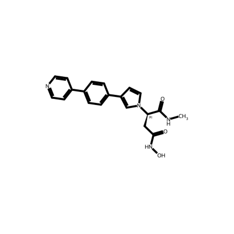 CNC(=O)[C@@H](CC(=O)NO)n1ccc(-c2ccc(-c3ccncc3)cc2)c1